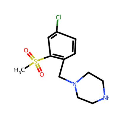 CS(=O)(=O)c1cc(Cl)ccc1CN1CCNCC1